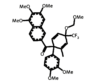 COCOC1(C(F)(F)F)C=CC(C(=O)c2ccc3c(OC)c(OC)c(OC)cc3c2)(c2ccc(OC)c(OC)c2)C(C)=C1